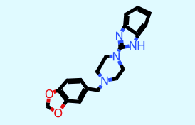 c1ccc2[nH]c(N3CCN(Cc4ccc5c(c4)OCO5)CC3)nc2c1